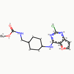 CC(C)(C)OC(=O)NCC1CCC(Nc2nc(Cl)nc3ccoc23)CC1